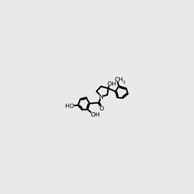 Cc1ccccc1C1(O)CCN(C(=O)c2ccc(O)cc2O)C1